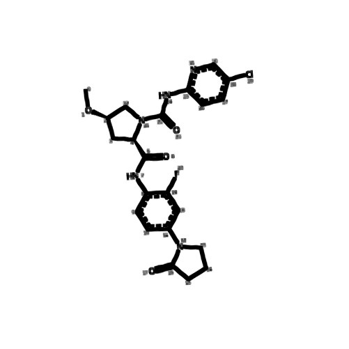 CO[C@@H]1C[C@H](C(=O)Nc2ccc(N3CCCC3=O)cc2F)N(C(=O)Nc2ccc(Cl)cn2)C1